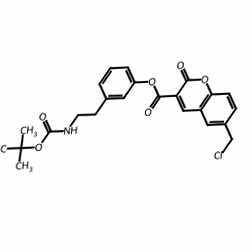 CC(C)(C)OC(=O)NCCc1cccc(OC(=O)c2cc3cc(CCl)ccc3oc2=O)c1